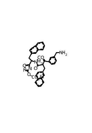 CCOC(=O)Oc1noc(C(Cc2ccc3ccccc3c2)N(C)C(=O)C(Cc2ccc3ccccc3c2)C(=O)c2cccc(CN)c2)n1